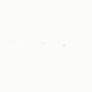 CCCCO[C@H]1CC[C@H](/C=C/C#C/C=C/[C@H]2CC[C@H](CCC)CC2)CC1